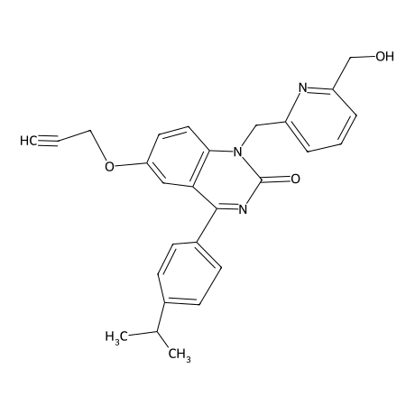 C#CCOc1ccc2c(c1)c(-c1ccc(C(C)C)cc1)nc(=O)n2Cc1cccc(CO)n1